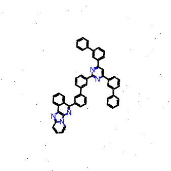 c1ccc(-c2cccc(-c3cc(-c4cccc(-c5ccccc5)c4)nc(-c4cccc(-c5cccc(-c6nc7c(nc8ccccn87)c7ccccc67)c5)c4)n3)c2)cc1